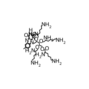 Cc1cc2nc3c(=O)[nH]c(=O)nc-3n(CC(OCC(N)CCCCN)C(OCC(N)CCCCN)C(COC(=O)C(N)CCCCN)OCC(N)CCCCN)c2cc1C